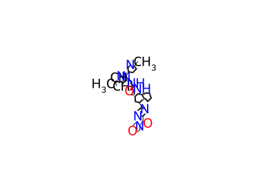 Cc1ccc(-n2nc(C(C)(C)C)cc2NC(=O)Nc2ccc(-c3cnc(C(=O)N4CCOCC4)cn3)c3ccccc23)cn1